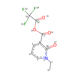 CCn1cccc(C(=O)OC(=O)C(F)(F)F)c1=O